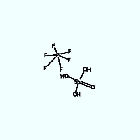 F[P-](F)(F)(F)(F)F.[O]=[Sb]([OH])([OH])[OH]